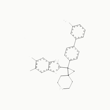 Cl.Cl.N#Cc1cccc(-c2ccc(C3(c4nc5cc(F)c(C(F)(F)F)cc5[nH]4)CC34CCNCC4)cc2)c1